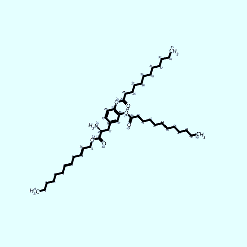 CCCCCCCCCCCCOC(=O)[C@@H](N)Cc1ccc(OC(=O)CCCCCCCCCCC)c(OC(=O)CCCCCCCCCCC)c1